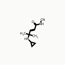 CC(C)(C=CC(=O)NC#N)NC1CC1